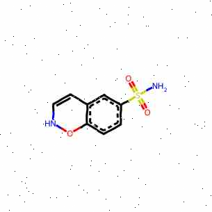 NS(=O)(=O)c1ccc2c(c1)C=CNO2